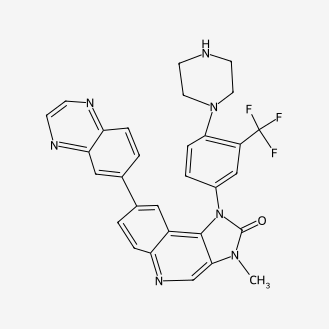 Cn1c(=O)n(-c2ccc(N3CCNCC3)c(C(F)(F)F)c2)c2c3cc(-c4ccc5nccnc5c4)ccc3ncc21